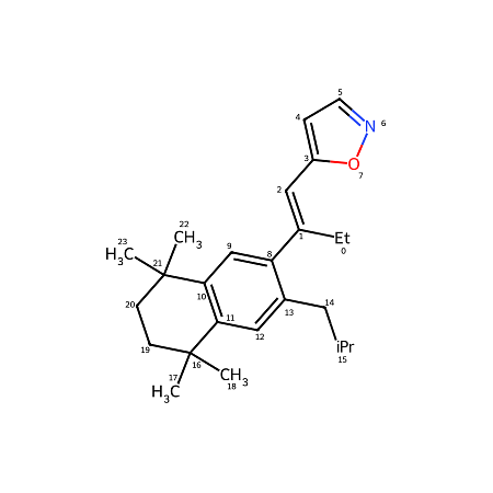 CCC(=Cc1ccno1)c1cc2c(cc1CC(C)C)C(C)(C)CCC2(C)C